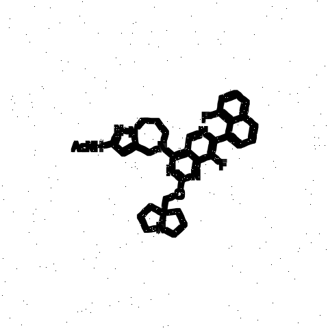 CC(=O)Nc1cc2n(n1)CCCN(c1nc(OCC34CCCN3CCC4)nc3c(F)c(-c4cccc5cccc(F)c45)ncc13)C2